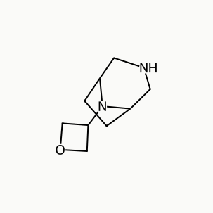 C1CC2CNCC1N2C1COC1